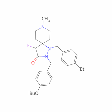 CCc1ccc(CN2N(Cc3ccc(OCC(C)C)cc3)C(=O)C(I)C23CCN(C)CC3)cc1